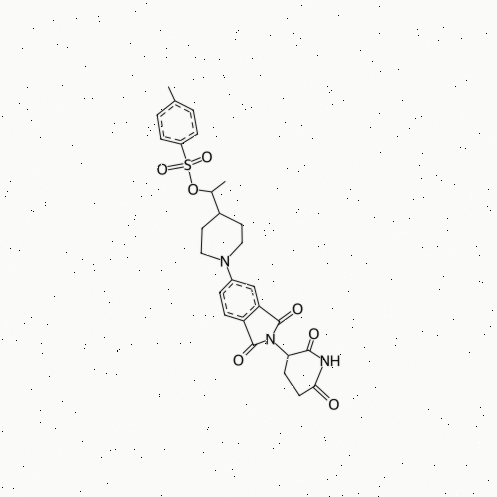 Cc1ccc(S(=O)(=O)OC(C)C2CCN(c3ccc4c(c3)C(=O)N(C3CCC(=O)NC3=O)C4=O)CC2)cc1